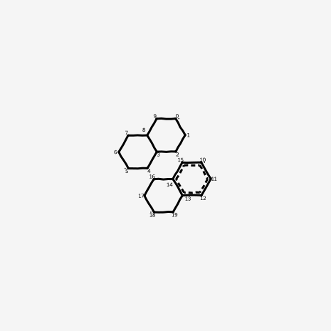 [CH]1CCC2C[CH]CCC2C1.[c]1ccc2c(c1)CC[CH]C2